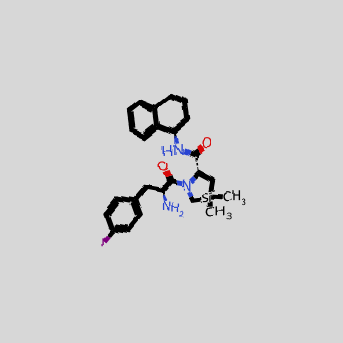 C[Si]1(C)C[C@@H](C(=O)N[C@@H]2CCCc3ccccc32)N(C(=O)[C@@H](N)Cc2ccc(I)cc2)C1